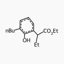 CCCCc1cccc(C(CC)C(=O)OCC)c1O